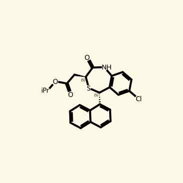 CC(C)OC(=O)C[C@@H]1S[C@@H](c2cccc3ccccc23)c2cc(Cl)ccc2NC1=O